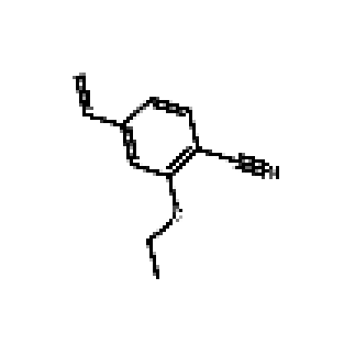 C=Cc1ccc(C#N)c(OCC)c1